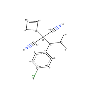 CC(C)C(c1ccc(Cl)cc1)C(C#N)(C#N)C1C=CC1